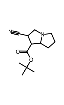 CC(C)(C)OC(=O)C1C(C#N)CN2CCCC12